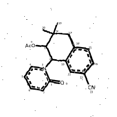 CC(=O)OC1C(n2ccccc2=O)c2cc(C#N)ccc2CC1(C)C